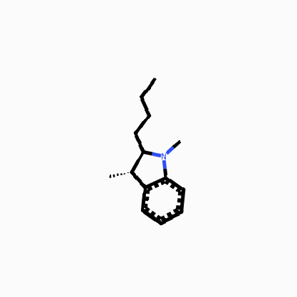 CCCCC1[C@@H](C)c2ccccc2N1C